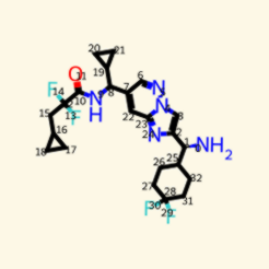 N[C@H](c1cn2ncc(C(NC(=O)C(F)(F)CC3CC3)C3CC3)cc2n1)C1CCC(F)(F)CC1